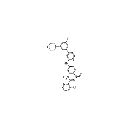 C=CN(/N=C(\N)c1ncccc1Cl)c1ccc(Nc2nccc(-c3cc(F)cc(N4CCOCC4)c3)n2)cc1